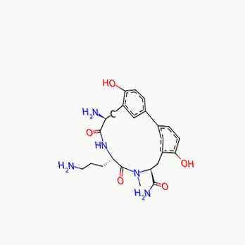 CN1C(=O)[C@H](CCCN)NC(=O)[C@@H](N)Cc2cc(ccc2O)-c2ccc(O)c(c2)C[C@H]1C(N)=O